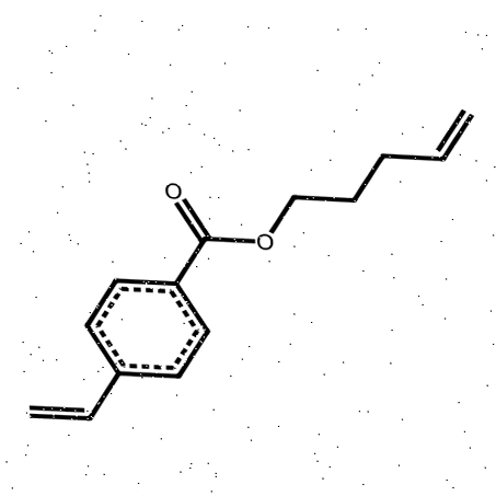 C=CCCCOC(=O)c1ccc(C=C)cc1